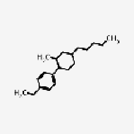 CCCCCC1CCC(c2ccc(CC)cc2)C(C)C1